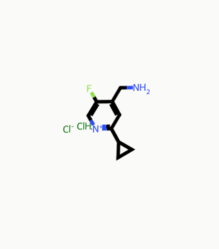 Cl.NCC1=CC(C2CC2)=[N+]C=C1F.[Cl-]